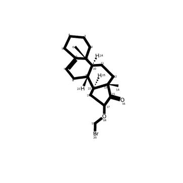 C[C@]12CCCCC1=CC[C@@H]1[C@@H]2CC[C@]2(C)C(=O)C(OCBr)C[C@@H]12